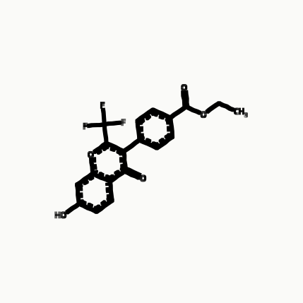 CCOC(=O)c1ccc(-c2c(C(F)(F)F)oc3cc(O)ccc3c2=O)cc1